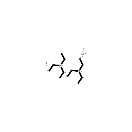 CCN(CC)CC.CCN(CC)CC.[I-].[I-].[Ni+2]